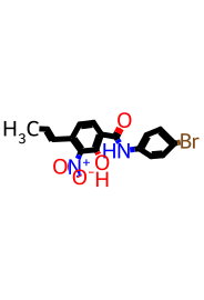 CC=Cc1ccc(C(=O)Nc2ccc(Br)cc2)c(O)c1[N+](=O)[O-]